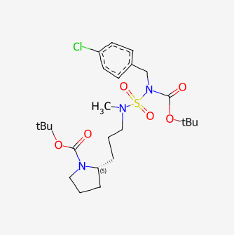 CN(CCC[C@@H]1CCCN1C(=O)OC(C)(C)C)S(=O)(=O)N(Cc1ccc(Cl)cc1)C(=O)OC(C)(C)C